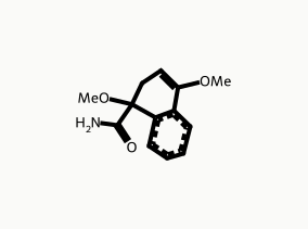 COC1=CCC(OC)(C(N)=O)c2ccccc21